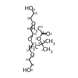 CC(=O)OC(C)(C)C.OCCOCCOCCOCCO